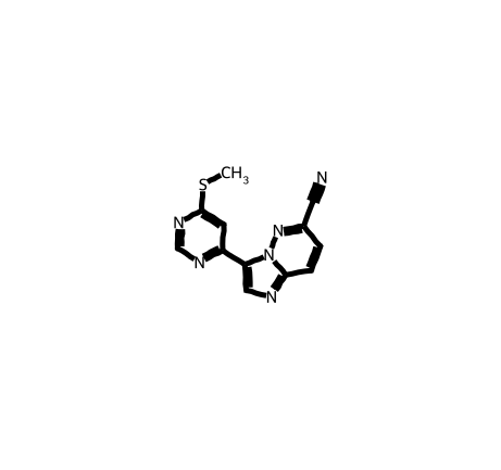 CSc1cc(-c2cnc3ccc(C#N)nn23)ncn1